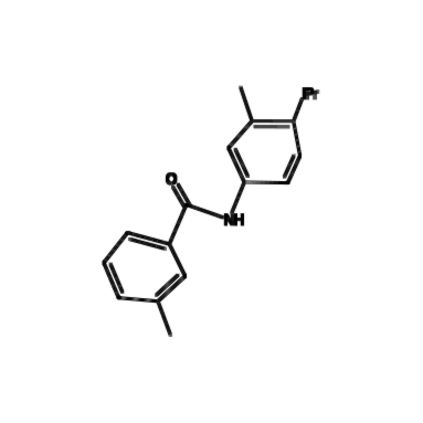 Cc1cccc(C(=O)Nc2ccc(C(C)C)c(C)c2)c1